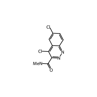 CNC(=O)c1nnc2ccc(Cl)cc2c1Cl